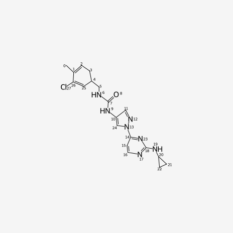 CC1=CCC(CNC(=O)Nc2cnn(-c3ccnc(NC4CC4)n3)c2)C=C1Cl